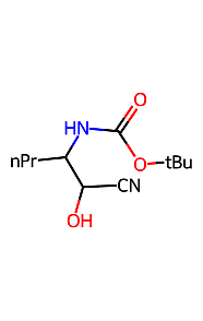 CCCC(NC(=O)OC(C)(C)C)C(O)C#N